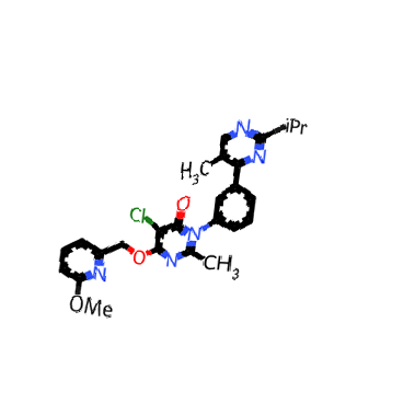 COc1cccc(COc2nc(C)n(-c3cccc(-c4nc(C(C)C)ncc4C)c3)c(=O)c2Cl)n1